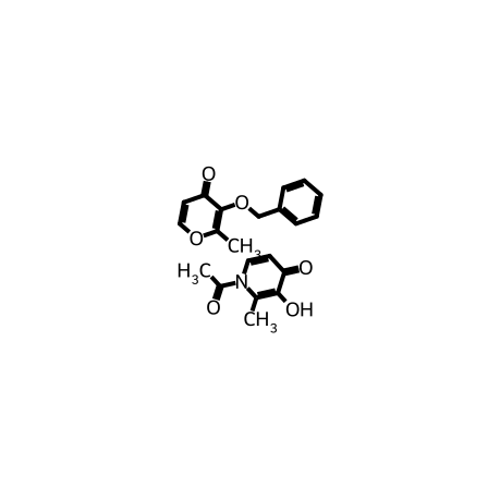 CC(=O)n1ccc(=O)c(O)c1C.Cc1occc(=O)c1OCc1ccccc1